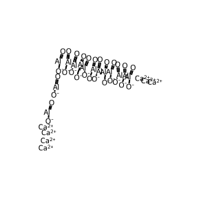 [Ca+2].[Ca+2].[Ca+2].[Ca+2].[Ca+2].[Ca+2].[Ca+2].[O]=[Al][O-].[O]=[Al][O-].[O]=[Al][O-].[O]=[Al][O-].[O]=[Al][O-].[O]=[Al][O-].[O]=[Al][O-].[O]=[Al][O-].[O]=[Al][O-].[O]=[Al][O-].[O]=[Al][O-].[O]=[Al][O-].[O]=[Al][O-].[O]=[Al][O-]